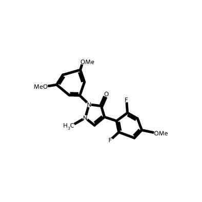 COc1cc(OC)cc(-n2c(=O)c(-c3c(F)cc(OC)cc3F)cn2C)c1